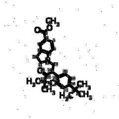 COC(=O)c1ccc2c(c1)CCN2CC(C(=O)C(C)(C)C)c1ccc(C(C)(C)C)cc1